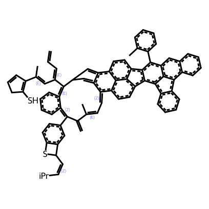 C=C/C=C(\C=C(/C)C1=C(S)CC=C1)C1=c2\cccc\c2=C(/c2ccc3c(c2)C(/C=C\C(C)C)S3)C(=C)/C(C)=C/C=c2\c3c(c4ccc5c6c(-c7ccccc7C)c7cc8ccccc8c8c9ccccc9c(c6c6ccc2c4c56)c78)=CC\1C=3